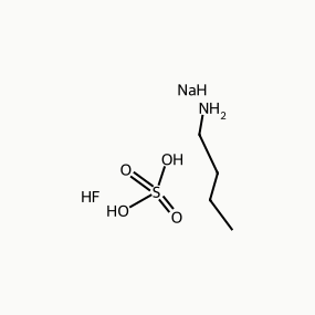 CCCCN.F.O=S(=O)(O)O.[NaH]